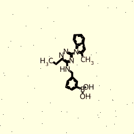 CCc1nnc(-n2c(C)cc3ccccc32)nc1NCc1cccc(B(O)O)c1